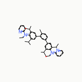 CC=[N+](c1ccccn1)c1c(C(C)C)cc(-c2ccc(C)c(-c3cc(C(C)C)c([N+](=CC)c4ccccn4)c(C(C)C)c3)c2)cc1C(C)C